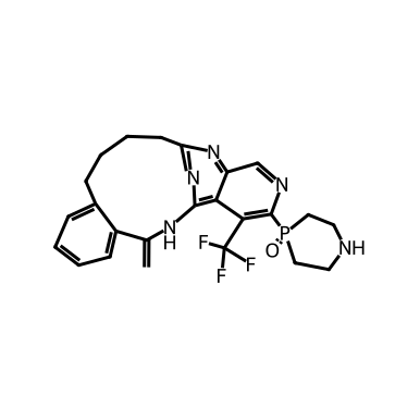 C=C1Nc2nc(nc3cnc(P4(=O)CCNCC4)c(C(F)(F)F)c23)CCCCc2ccccc21